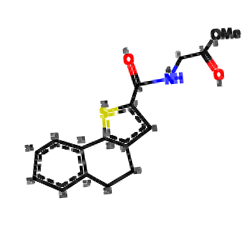 COC(=O)CNC(=O)c1cc2c(s1)-c1ccccc1CC2